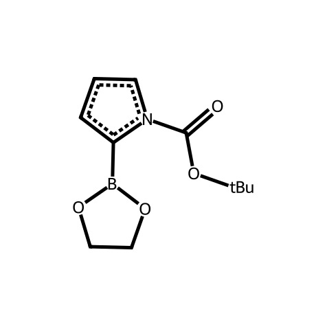 CC(C)(C)OC(=O)n1cccc1B1OCCO1